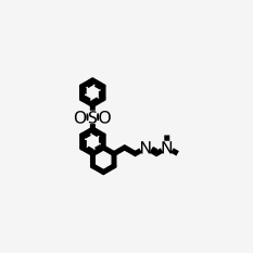 CN(C)C=NCCC1CCCc2ccc(S(=O)(=O)c3ccccc3)cc21